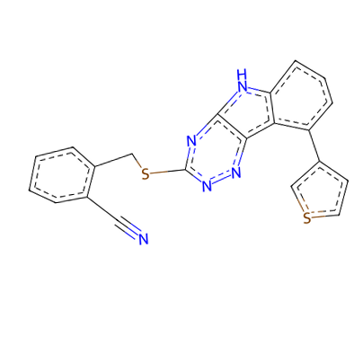 N#Cc1ccccc1CSc1nnc2c(n1)[nH]c1cccc(-c3ccsc3)c12